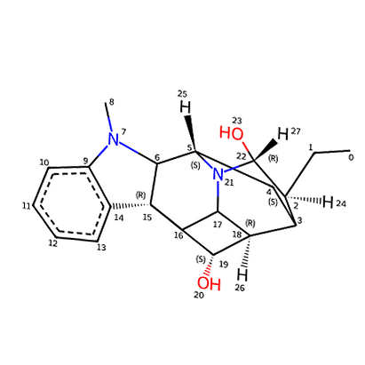 CC[C@H]1C2C[C@H]3C4N(C)c5ccccc5[C@]45CC([C@@H]2[C@@H]5O)N3[C@@H]1O